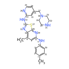 Cc1ccc(Nc2cc(C)c3nc(Nc4cc(CN5CCNCC5)ccn4)sc3n2)cc1